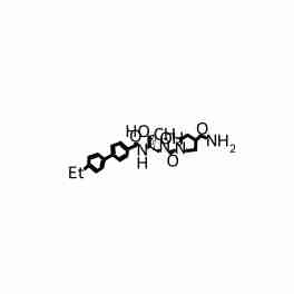 CCc1ccc(-c2ccc(C(=O)N[C@H](CN(O)C(=O)N3CCC(C(N)=O)CC3)[C@@H](C)O)cc2)cc1